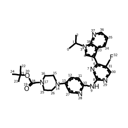 CC(C)n1cc(-c2nc(Nc3ccc(N4CCN(C(=O)OC(C)(C)C)CC4)cn3)ncc2F)c2cccnc21